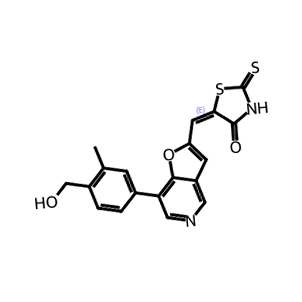 Cc1cc(-c2cncc3cc(/C=C4/SC(=S)NC4=O)oc23)ccc1CO